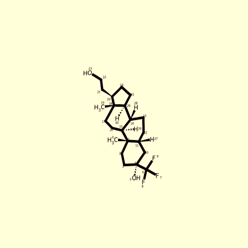 C[C@]12CC[C@](O)(C(F)(F)F)C[C@H]1CC[C@@H]1[C@@H]2CC[C@]2(C)[C@@H](CCO)CC[C@@H]12